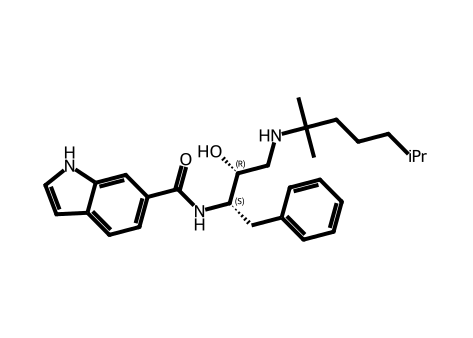 CC(C)CCCC(C)(C)NC[C@@H](O)[C@H](Cc1ccccc1)NC(=O)c1ccc2cc[nH]c2c1